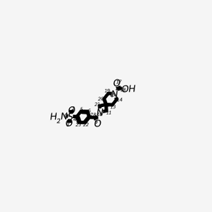 NS(=O)(=O)c1ccc(C(=O)N2CC3(CCN(C(=O)O)CC3)C2)cc1